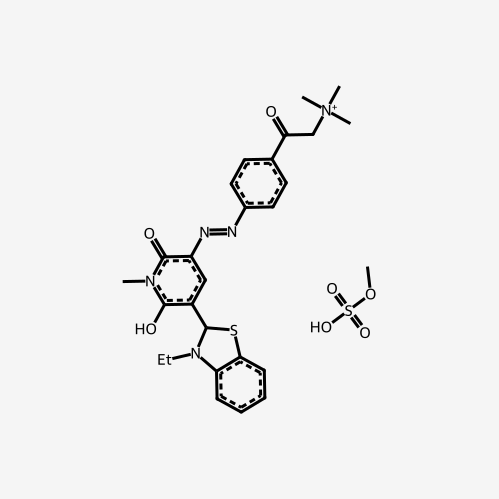 CCN1c2ccccc2SC1c1cc(N=Nc2ccc(C(=O)C[N+](C)(C)C)cc2)c(=O)n(C)c1O.COS(=O)(=O)O